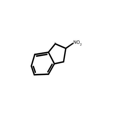 O=[N+]([O-])C1[C]c2ccccc2C1